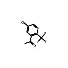 CC(=O)c1cc(Cl)cnc1C(F)(F)F